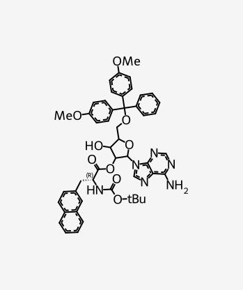 COc1ccc(C(OCC2OC(n3cnc4c(N)ncnc43)C(OC(=O)[C@@H](Cc3ccc4ccccc4c3)NC(=O)OC(C)(C)C)C2O)(c2ccccc2)c2ccc(OC)cc2)cc1